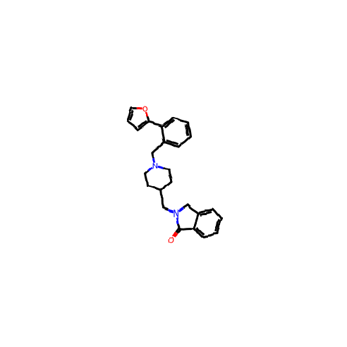 O=C1c2ccccc2CN1CC1CCN(Cc2ccccc2-c2ccco2)CC1